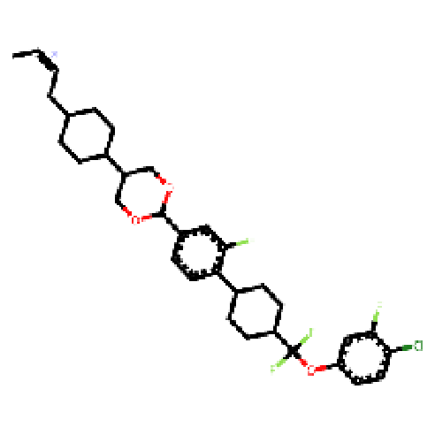 C/C=C\CC1CCC(C2COC(c3ccc(C4CCC(C(F)(F)Oc5ccc(Cl)c(F)c5)CC4)c(F)c3)OC2)CC1